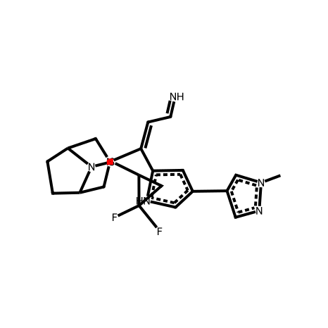 Cn1cc(-c2c[nH]c(/C(=C\C=N)N3CC4CCC(C3)N4SC3CC3(F)F)c2)cn1